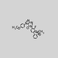 COc1ccc(-n2cnc3ncn(-c4ccc(-c5ccccc5S(C)(=O)=O)cc4F)c(=O)c32)cc1